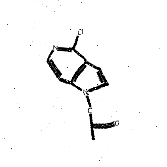 CC(=O)Cn1ccc2c(Cl)nccc21